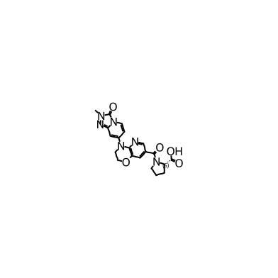 Cn1nc2cc(N3CCOc4cc(C(=O)N5CCC[C@H]5C(=O)O)cnc43)ccn2c1=O